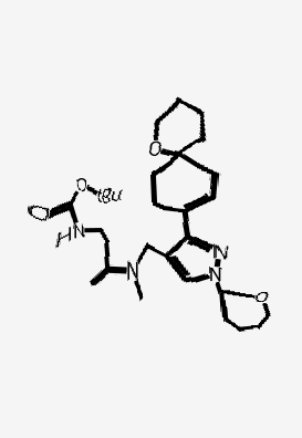 CC(CNC(=O)OC(C)(C)C)N(C)Cc1cn(C2CCCCO2)nc1C1=CCC2(CCCCO2)CC1